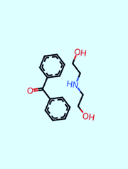 O=C(c1ccccc1)c1ccccc1.OCCNCCO